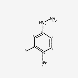 Cc1cc(NN)ccc1C(C)C